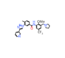 COc1c(CN2CCCC2)cc(C(F)(F)F)cc1NC(=O)c1ccc(C)c(-n2cc(-c3cccnc3)nn2)c1